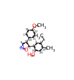 CCc1cc(-c2oncc2-c2ccc(OC)cc2)c(O)cc1C